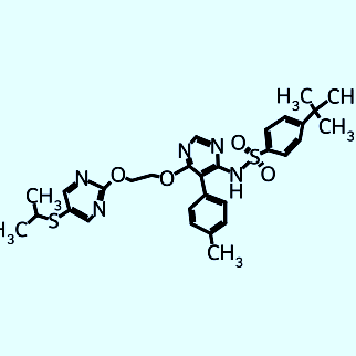 Cc1ccc(-c2c(NS(=O)(=O)c3ccc(C(C)(C)C)cc3)ncnc2OCCOc2ncc(SC(C)C)cn2)cc1